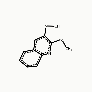 CSc1cc2ccccc2nc1SC